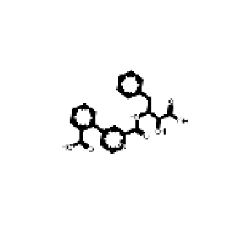 O=C(NC(Cc1ccccc1)C(O)C(=O)O)c1cc(-c2ccccc2C(=O)O)ccn1